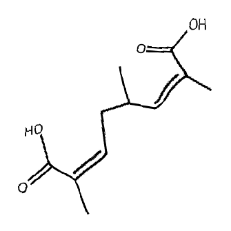 CC(=CCC(C)C=C(C)C(=O)O)C(=O)O